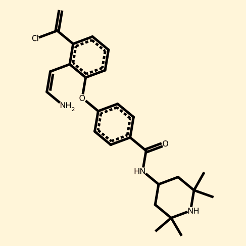 C=C(Cl)c1cccc(Oc2ccc(C(=O)NC3CC(C)(C)NC(C)(C)C3)cc2)c1/C=C\N